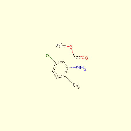 COC=O.Cc1ccc(Cl)cc1N